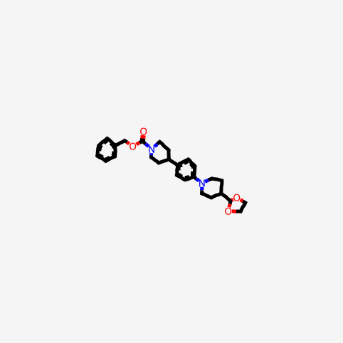 O=C(OCc1ccccc1)N1CCC(c2ccc(N3CCC(C4OCCO4)CC3)cc2)CC1